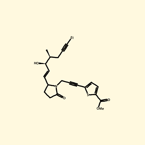 CCC#CC[C@H](C)[C@H](O)C=CC1CCC(=O)N1CC#Cc1ccc(C(=O)OC)s1